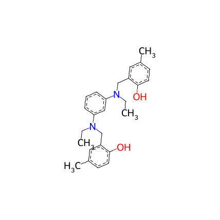 CCN(Cc1cc(C)ccc1O)c1cccc(N(CC)Cc2cc(C)ccc2O)c1